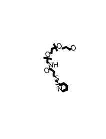 CC(C)(CCOC(C)(C)CNC(=O)CCSSc1ccccn1)OCCC=O